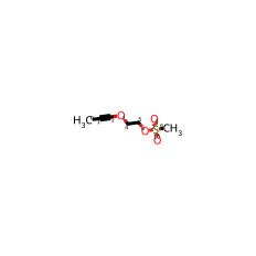 CC#COCCOS(C)(=O)=O